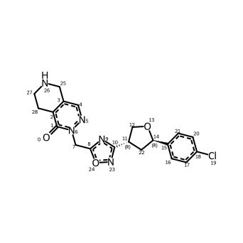 O=c1c2c(cnn1Cc1nc([C@@H]3CO[C@@H](c4ccc(Cl)cc4)C3)no1)CNCC2